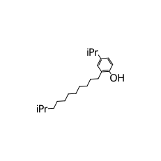 CC(C)CCCCCCCCCc1cc(C(C)C)ccc1O